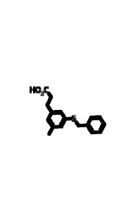 Cc1cc(CCC(=O)O)cc(SCc2ccccc2)c1